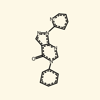 O=c1c2cnn(-c3ccccn3)c2ncn1-c1ccccc1